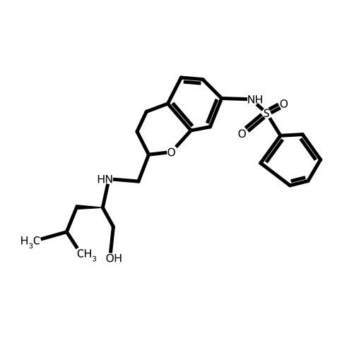 CC(C)C[C@H](CO)NCC1CCc2ccc(NS(=O)(=O)c3ccccc3)cc2O1